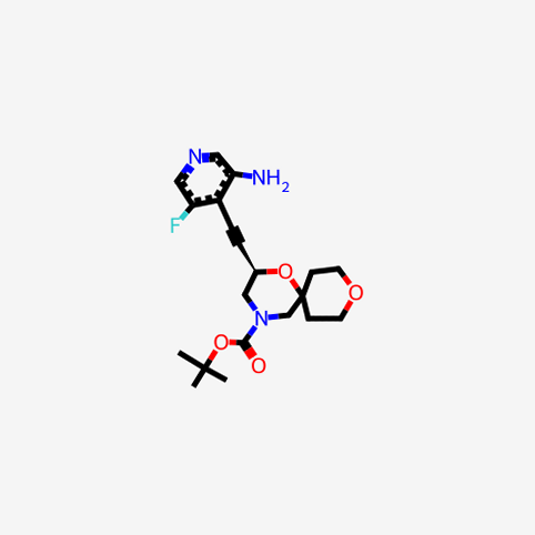 CC(C)(C)OC(=O)N1C[C@@H](C#Cc2c(N)cncc2F)OC2(CCOCC2)C1